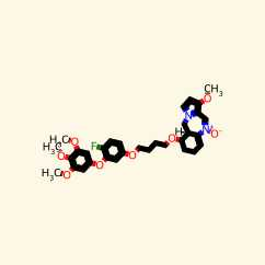 COc1cc(Oc2cc(OCCCCOC3CCC=C4[C@@H]3Cn3ccc(OC)c3C=[N+]4[O-])ccc2F)cc(OC)c1OC